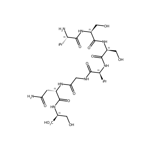 CC(C)[C@H](N)C(=O)N[C@@H](CO)C(=O)N[C@@H](CO)C(=O)N[C@H](C(=O)NCC(=O)N[C@@H](CC(N)=O)C(=O)N[C@@H](CO)C(=O)O)C(C)C